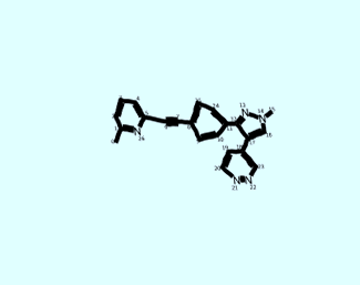 Cc1cccc(C#Cc2ccc(-c3nn(C)cc3-c3ccnnc3)cc2)n1